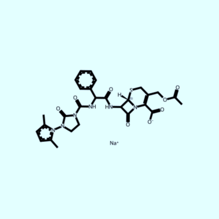 CC(=O)OCC1=C(C(=O)[O-])N2C(=O)C(NC(=O)C(NC(=O)N3CCN(n4c(C)ccc4C)C3=O)c3ccccc3)[C@@H]2SC1.[Na+]